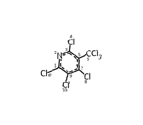 Clc1nc(Cl)c(C(Cl)(Cl)Cl)c(Cl)c1Cl